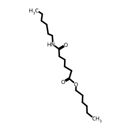 CCCCCCNC(=O)CCCCC(=O)OCCCCCC